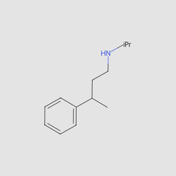 CC(C)NCCC(C)c1ccccc1